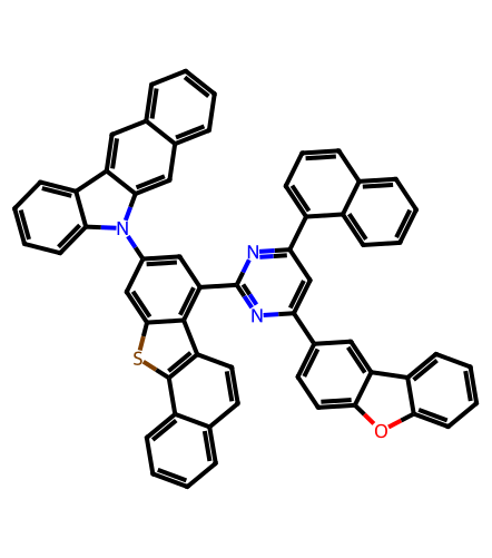 c1ccc2cc3c(cc2c1)c1ccccc1n3-c1cc(-c2nc(-c3ccc4oc5ccccc5c4c3)cc(-c3cccc4ccccc34)n2)c2c(c1)sc1c3ccccc3ccc12